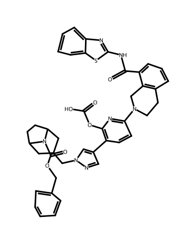 O=C(O)Oc1nc(N2CCc3cccc(C(=O)Nc4nc5ccccc5s4)c3C2)ccc1-c1cnn(CC2CC3CCC(C2)N3C(=O)OCc2ccccc2)c1